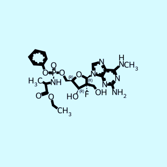 CCOC(=O)C(C)N[P@](=O)(OC[C@H]1O[C@@H](n2cnc3c(NC)nc(N)nc32)[C@@](F)(CO)[C@@H]1O)Oc1ccccc1